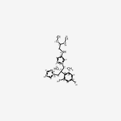 CCOC(CNc1cnn([C@H](C)[C@](O)(Cn2cncn2)c2ccc(F)cc2F)c1)OCC